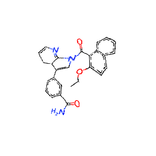 CCOc1ccc2ccccc2c1C(=O)N1C=C(c2cccc(C(N)=O)c2)C2CC=CN=C21